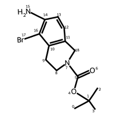 CC(C)(C)OC(=O)N1CCc2c(ccc(N)c2Br)C1